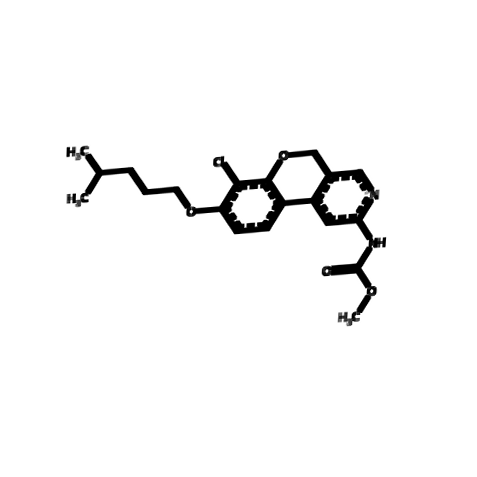 COC(=O)Nc1cc2c(cn1)COc1c-2ccc(OCCCC(C)C)c1Cl